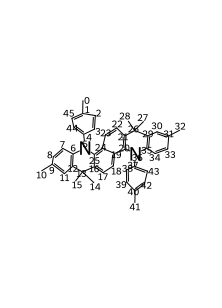 Cc1ccc(N2c3ccc(C)cc3C(C)(C)c3ccc4c5c(ccc4c32)C(C)(C)c2cc(C)ccc2N5c2ccc(C)cc2)cc1